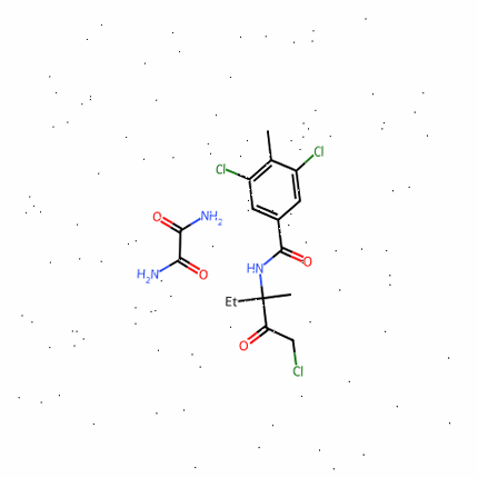 CCC(C)(NC(=O)c1cc(Cl)c(C)c(Cl)c1)C(=O)CCl.NC(=O)C(N)=O